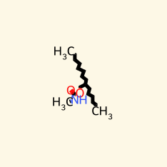 CCCCCCCCC(CCCCCC)COC(=O)NC